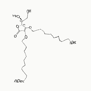 CCCCCCCCCCCCCCCCCCOC1=C(OCCCCCCCCCCCCCCCCCC)[C@@H]([C@@H](O)CO)OC1=O